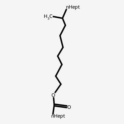 CCCCCCCC(=O)OCCCCCCCC(C)CCCCCCC